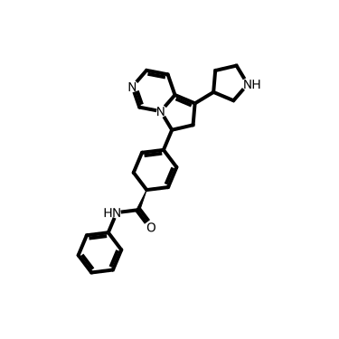 O=C(Nc1ccccc1)[C@@H]1C=CC(C2CC(C3CCNC3)=C3C=CN=CN32)=CC1